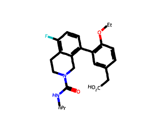 CCCNC(=O)N1CCc2c(F)ccc(-c3cc(CC(=O)O)ccc3OCC)c2C1